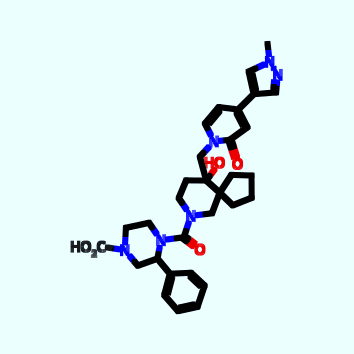 Cn1cc(-c2ccn(CC3(O)CCN(C(=O)N4CCN(C(=O)O)CC4c4ccccc4)CC34CCCC4)c(=O)c2)cn1